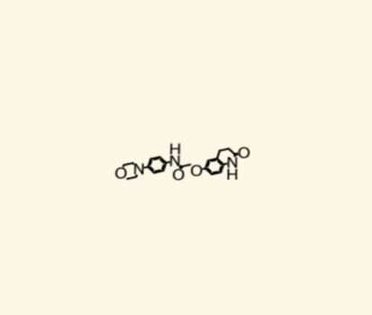 O=C(COc1ccc2c(c1)CCC(=O)N2)Nc1ccc(N2CCOCC2)cc1